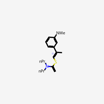 C=C(S/C=C(\C)c1cccc(NC)c1)N(CCC)CCC